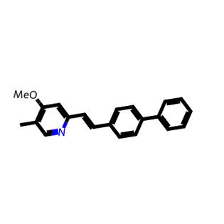 COc1cc(/C=C/c2ccc(-c3ccccc3)cc2)ncc1C